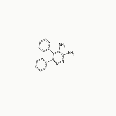 Nc1nnc(-c2ccccc2)c(-c2ccccc2)c1N